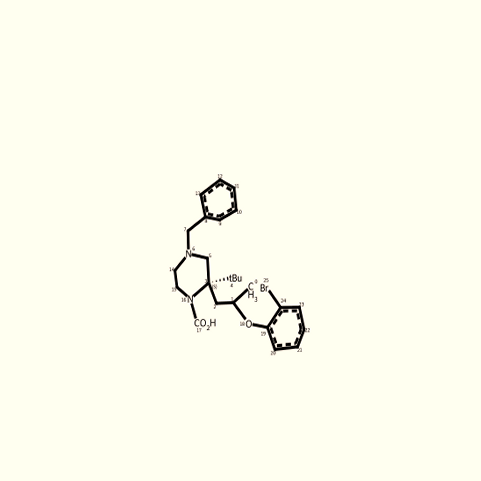 CC(C[C@]1(C(C)(C)C)CN(Cc2ccccc2)CCN1C(=O)O)Oc1ccccc1Br